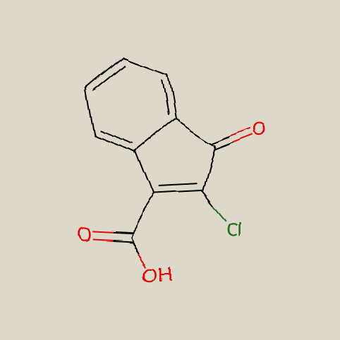 O=C(O)C1=C(Cl)C(=O)c2ccccc21